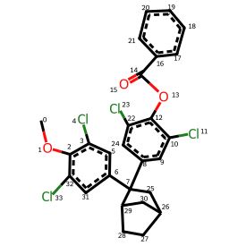 COc1c(Cl)cc(C2(c3cc(Cl)c(OC(=O)c4ccccc4)c(Cl)c3)CC3CCC2C3)cc1Cl